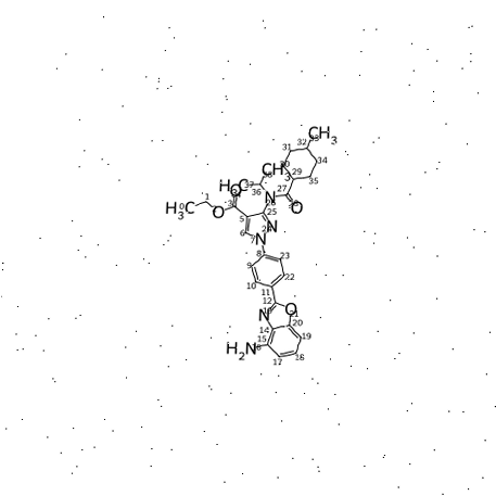 CCOC(=O)c1cn(-c2ccc(-c3nc4c(N)cccc4o3)cc2)nc1N(C(=O)C1CCC(C)CC1)C(C)C